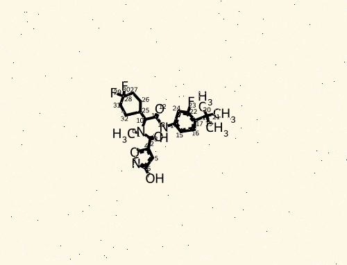 CN(C(=O)c1cc(O)no1)C(C(=O)Nc1ccc(C(C)(C)C)c(F)c1)C1CCC(F)(F)CC1